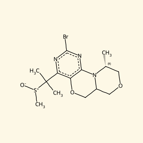 C[C@@H]1COCC2COc3c(nc(Br)nc3C(C)(C)[S+](C)[O-])N21